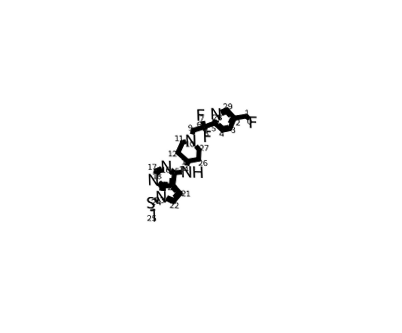 FCc1ccc(C(F)(F)CN2CCC(Nc3ncnc4c3ccn4SI)CC2)nc1